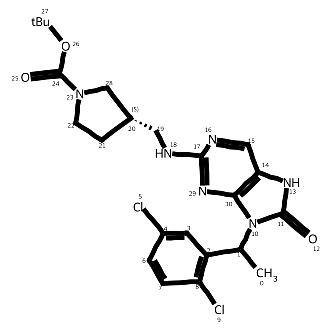 CC(c1cc(Cl)ccc1Cl)n1c(=O)[nH]c2cnc(NC[C@@H]3CCN(C(=O)OC(C)(C)C)C3)nc21